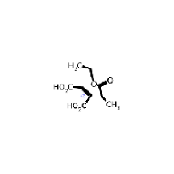 CCOC(=O)CC.O=C(O)/C=C\C(=O)O